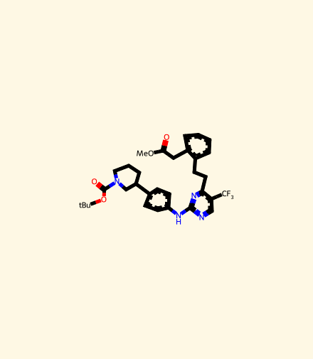 COC(=O)Cc1ccccc1CCc1nc(Nc2ccc(C3CCCN(C(=O)OC(C)(C)C)C3)cc2)ncc1C(F)(F)F